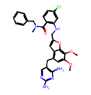 COc1cc(Cc2cnc(N)nc2N)c2cc(CNc3cc(Cl)ccc3C(=O)N(C)Cc3ccccc3)oc2c1OC